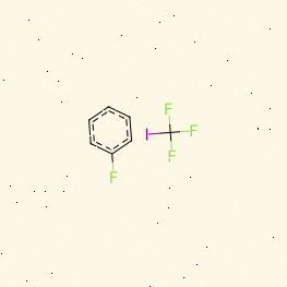 FC(F)(F)I.Fc1ccccc1